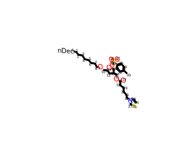 CCCCCCCCCCCCCCCCCCOCC1CC(COC(=O)CCCCC[n+]2ccsc2)CO1.Cc1ccc(S(=O)(=O)[O-])cc1